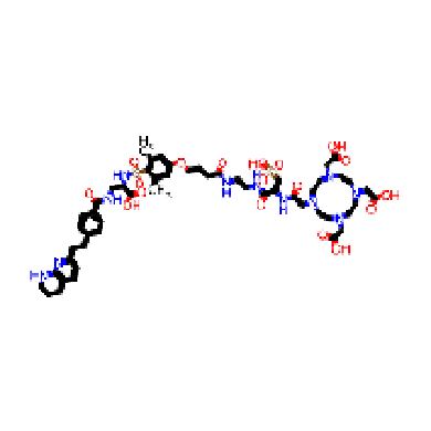 Cc1cc(OCCCC(=O)NCCNC(=O)C(CS(=O)(=O)O)NC(=O)CN2CCN(CC(=O)O)CCN(CC(=O)O)CCN(CC(=O)O)CC2)cc(C)c1S(=O)(=O)NC(CNC(=O)c1ccc(CCc2ccc3c(n2)NCCC3)cc1)C(=O)O